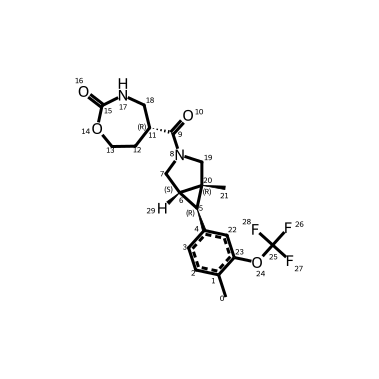 Cc1ccc([C@H]2[C@@H]3CN(C(=O)[C@@H]4CCOC(=O)NC4)C[C@@]32C)cc1OC(F)(F)F